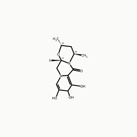 C[C@@H]1C[C@@H](C)N2C(=O)C3=C(O)C(O)C(O)=CN3C[C@@H]2O1